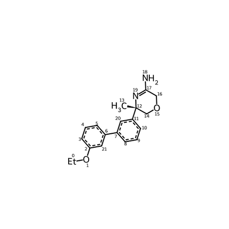 CCOc1cccc(-c2cccc([C@@]3(C)COCC(N)=N3)c2)c1